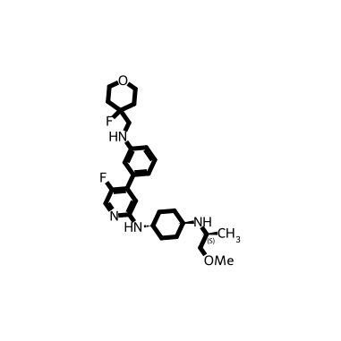 COC[C@H](C)N[C@H]1CC[C@H](Nc2cc(-c3cccc(NCC4(F)CCOCC4)c3)c(F)cn2)CC1